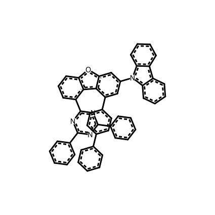 c1ccc(-c2ccc(-c3cc(-n4c5ccccc5c5ccccc54)cc4oc5cccc(-c6nc(-c7ccccc7)nc(-c7ccccc7)n6)c5c34)cc2)cc1